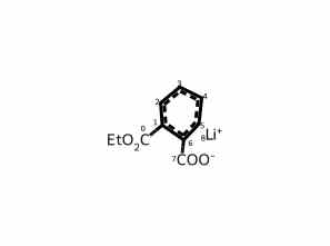 CCOC(=O)c1ccccc1C(=O)[O-].[Li+]